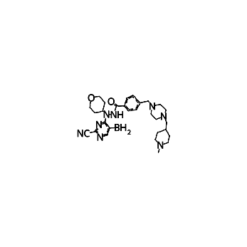 Bc1cnc(C#N)nc1N(NC(=O)c1ccc(CN2CCN(CC3CCN(C)CC3)CC2)cc1)C1CCOCC1